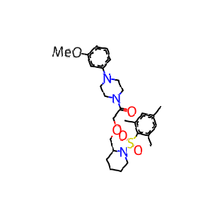 COc1cccc(N2CCN(C(=O)COCC3CCCCN3S(=O)(=O)c3c(C)cc(C)cc3C)CC2)c1